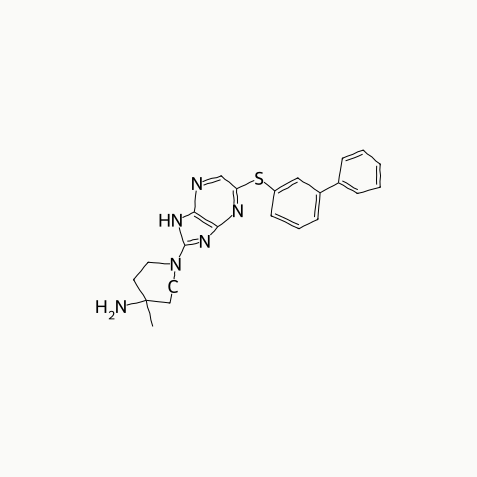 CC1(N)CCN(c2nc3nc(Sc4cccc(-c5ccccc5)c4)cnc3[nH]2)CC1